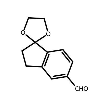 O=Cc1ccc2c(c1)CCC21OCCO1